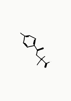 CC(C)([CH]C(=O)c1ccc(O)cc1)C(N)=O